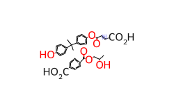 CC(C)(c1ccc(O)cc1)c1ccc(OC(=O)/C=C/C(=O)O)cc1.CC(O)COC(=O)c1ccc(C(=O)O)cc1